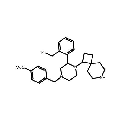 COc1ccc(CN2CCN(C3CCC34CCNCC4)C(c3ccccc3CC(C)C)C2)cc1